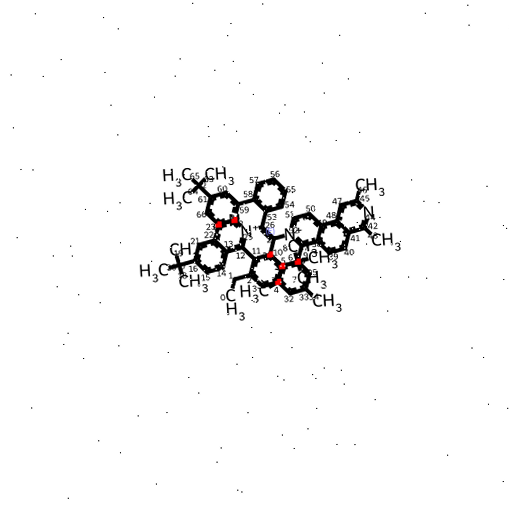 CCc1ccc(C(C)(C)C)cc1-c1c2ccc(C(C)(C)C)cc2cc[n+]1/C(=C1\Cc2c(C)cc(C)cc2-c2c3ccc4c(C)nc(C)cc4c3cc[n+]21)c1ccccc1-c1cc(C(C)(C)C)ccn1